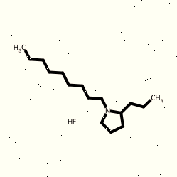 CCCCCCCCCN1CCCC1CCC.F